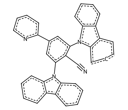 N#Cc1c(-n2c3ccccc3c3ccccc32)cc(-c2ccccn2)cc1-n1c2ccccc2c2ccccc21